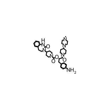 CN1CCN(C2CCN(C(=O)C(Cc3ccc(N)cc3)OC(=O)N3CCC(N4CCc5ccccc5NC4=O)CC3)CC2)CC1